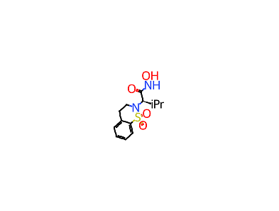 CC(C)[C@H](C(=O)NO)N1CCc2ccccc2S1(=O)=O